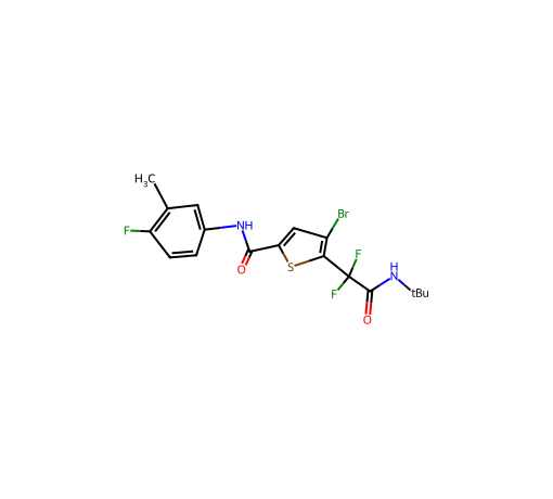 Cc1cc(NC(=O)c2cc(Br)c(C(F)(F)C(=O)NC(C)(C)C)s2)ccc1F